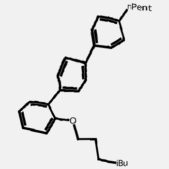 CCCCCc1ccc(-c2ccc(-c3ccccc3OCCCC(C)CC)cc2)cc1